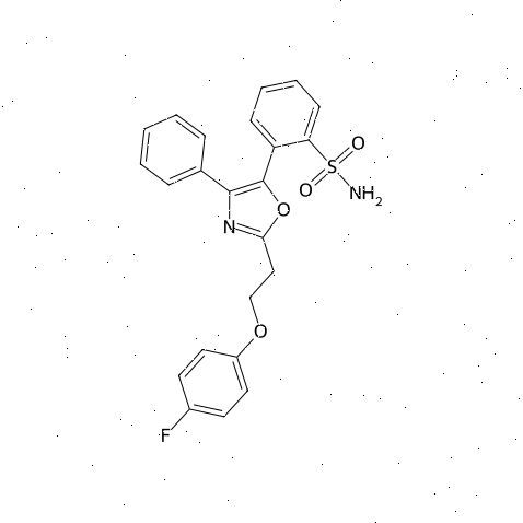 NS(=O)(=O)c1ccccc1-c1oc(CCOc2ccc(F)cc2)nc1-c1ccccc1